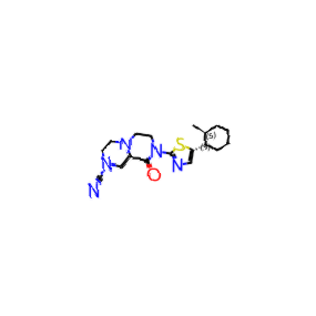 C[C@H]1CCCC[C@@H]1c1cnc(N2CCN3CCN(C#N)CC3C2=O)s1